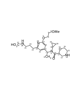 COCCOc1cc(C(C)N(C(=O)C2CNCCO2)C2CC2)cc(CCCNC(=O)O)n1